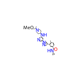 COCC(C)N1CCC(Nc2cncc(-n3cc(-c4cc(C(=O)NC5CC5)ccc4C)cn3)c2)CC1